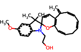 C=C1/C=C\C=C/C/C=C\C2=C1C=CC1(O2)N(CCO)c2ccc(OC)cc2C1(C)C